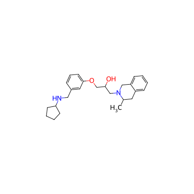 CC1Cc2ccccc2CN1CC(O)COc1cccc(CNC2CCCC2)c1